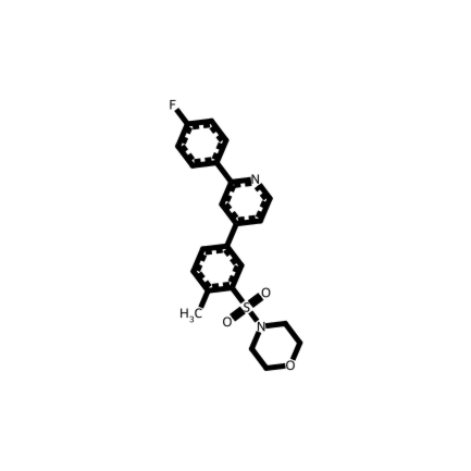 Cc1ccc(-c2ccnc(-c3ccc(F)cc3)c2)cc1S(=O)(=O)N1CCOCC1